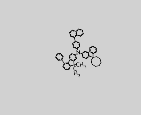 CC1(C)c2cc(N(c3ccc(-c4cccc5ccccc45)cc3)c3ccc(C4(c5ccccc5)CCCCCCC4)cc3)ccc2-c2c(-c3ccccc3)cccc21